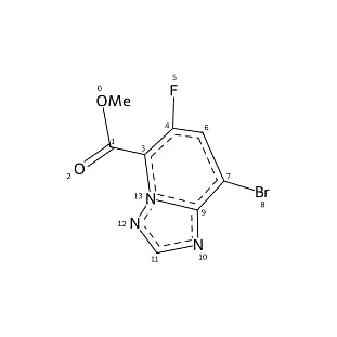 COC(=O)c1c(F)cc(Br)c2ncnn12